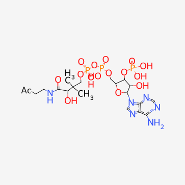 CC(=O)CCNC(=O)C(O)C(C)(C)COP(=O)(O)OP(=O)(O)OCC1OC(n2cnc3c(N)ncnc32)C(O)C1OP(=O)(O)O